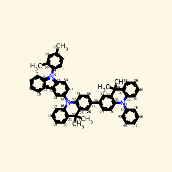 Cc1ccc(-n2c3ccccc3c3cc(N4c5ccccc5C(C)(C)c5cc(-c6ccc7c(c6)C(C)(C)c6ccccc6N7c6ccccc6)ccc54)ccc32)c(C)c1